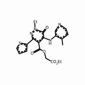 CCOC(=O)COC(=O)c1c(-c2cccs2)nn(CC)c(=O)c1Nc1cnccc1C